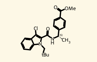 COC(=O)c1ccc([C@H](C)NC(=O)c2c(Cl)c3ccccc3n2CC(C)(C)C)cc1